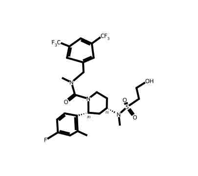 Cc1cc(F)ccc1[C@H]1C[C@@H](N(C)S(=O)(=O)CCO)CCN1C(=O)N(C)Cc1cc(C(F)(F)F)cc(C(F)(F)F)c1